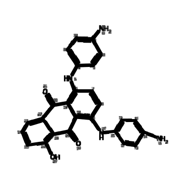 Nc1ccc(Nc2ccc(Nc3ccc(N)cc3)c3c2C(=O)c2cccc(O)c2C3=O)cc1